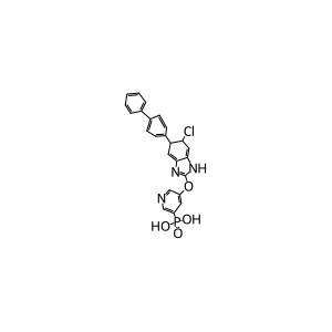 O=P(O)(O)c1cncc(Oc2nc3c([nH]2)=CC(Cl)C(c2ccc(-c4ccccc4)cc2)C=3)c1